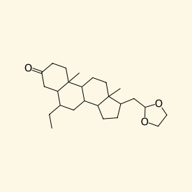 CCC1CC2C3CCC(CC4OCCO4)C3(C)CCC2C2(C)CCC(=O)CC12